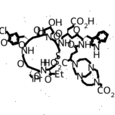 CCC(=O)[C@@H]1CSSC[C@H](NC(=O)[C@@H](CCC(=O)O)CC(=O)[C@H](Cc2c[nH]c3ccccc23)NC(=O)CCC(C(=O)O)N2CCCN3CCN(CCCN(CC(=O)O)CC3)CC2)C(=O)N2C[C@H](O)C[C@H]2C(=O)C[C@@H](Cc2ccc(O)c(Cl)c2)C(=O)NCC(=O)C[C@@H](CC(C)C)C(=O)N1